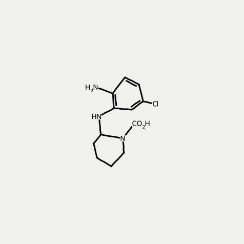 Nc1ccc(Cl)cc1NC1CCCCN1C(=O)O